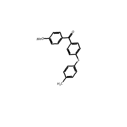 COc1ccc(C(=O)c2ccc(Sc3ccc(C)cc3)cc2)cc1